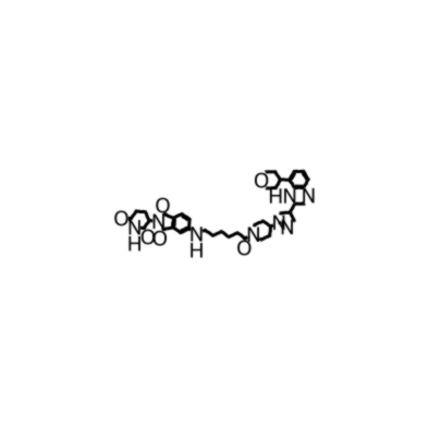 O=C1CCC(N2C(=O)c3ccc(NCCCCCC(=O)N4CCC(N5CC(C6C=Nc7cccc(C8CCOCC8)c7N6)C=N5)CC4)cc3C2=O)C(=O)N1